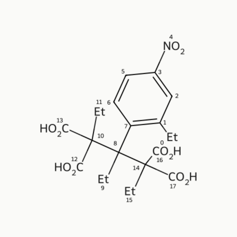 CCc1cc([N+](=O)[O-])ccc1C(CC)(C(CC)(C(=O)O)C(=O)O)C(CC)(C(=O)O)C(=O)O